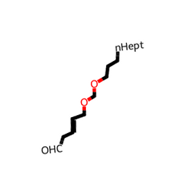 CCCCCCCCCCOCOCC=CCC=O